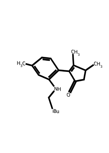 CCC(C)CNc1cc(C)ccc1C1=C(C)C(C)CC1=O